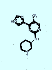 FC(F)(F)c1cnc(N[C@H]2CCCNC2)nc1-c1c[nH]cn1